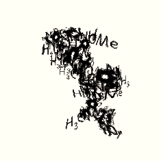 COc1cc(N2CCC3(CC2)CO[C@@H](Cc2nc(Nc4cc(-c5cnn(C)c5)c(N5CCC6(CC5)CN(C(C)C)CCO6)cc4OC)nc(Nc4ccc5nccnc5c4P(C)(C)=O)c2Br)[C@H]3N(C)C)c(-c2cnn(C)c2)cc1Nc1ncc(Br)c(Nc2ccc3nccnc3c2P(C)(C)=O)n1